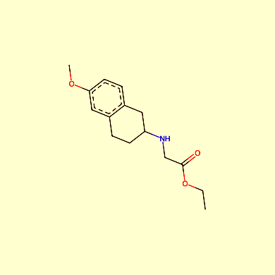 CCOC(=O)CNC1CCc2cc(OC)ccc2C1